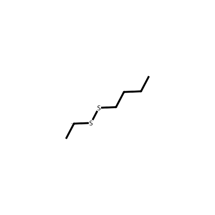 C[CH]SSCCCC